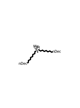 CCCCCCCCCCCCCCCCCC[N+](C)(C)CCCCCCCCCCCCCCCCCC.[LiH].[Mn]